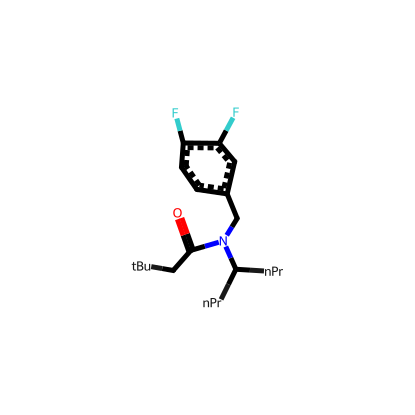 CCCC(CCC)N(Cc1ccc(F)c(F)c1)C(=O)CC(C)(C)C